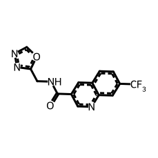 O=C(NCc1nnco1)c1cnc2cc(C(F)(F)F)ccc2c1